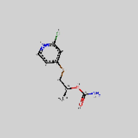 C[C@@H](CSc1ccnc(Cl)c1)OC(N)=O